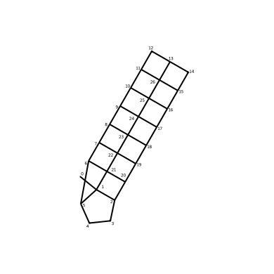 CC12C3CCC1C1C4C5C6C7C8CC9CC%10C%11C%12C%13C%14C3C12C%144C%135C%126C%117C9%108